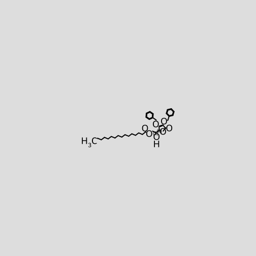 CCCCCCCCCCCCCCCC(=O)OC[C@H](O)[C@H]1OC(=O)C(OCc2ccccc2)=C1OCc1ccccc1